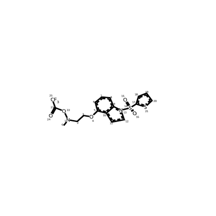 CN(CCOc1cccc2c1ccn2S(=O)(=O)c1cccs1)OC(=O)C(F)(F)F